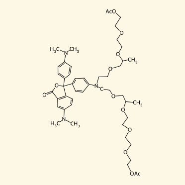 CC(=O)OCCOCCOCCOC(C)COCCN(CCOCC(C)OCCOCCOC(C)=O)c1ccc(C2(c3ccc(N(C)C)cc3)OC(=O)c3cc(N(C)C)ccc32)cc1